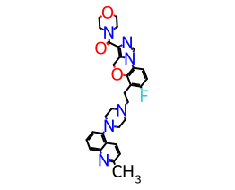 Cc1ccc2c(N3CCN(CCc4c(F)ccc5c4OCc4c(C(=O)N6CCOCC6)ncn4-5)CC3)cccc2n1